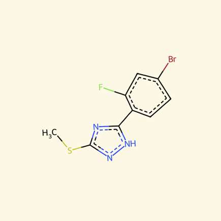 CSc1n[nH]c(-c2ccc(Br)cc2F)n1